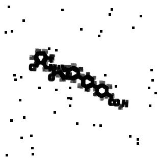 O=C(O)CC1CCC(c2ccc(-c3ccc4nc(C(=O)NCc5c(F)cccc5Cl)cn4c3)cc2)CC1